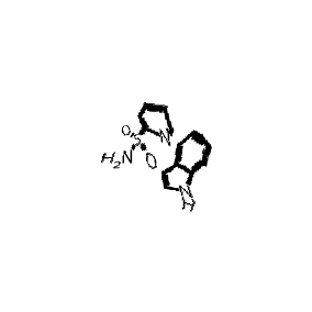 NS(=O)(=O)c1ccccn1.c1ccc2[nH]ccc2c1